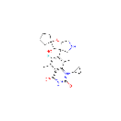 Cc1c(F)c(C2(C(O)C3(O)CCCC3)CCNC2)c(C)c2c1c(=O)[nH]c(=O)n2C1CC1